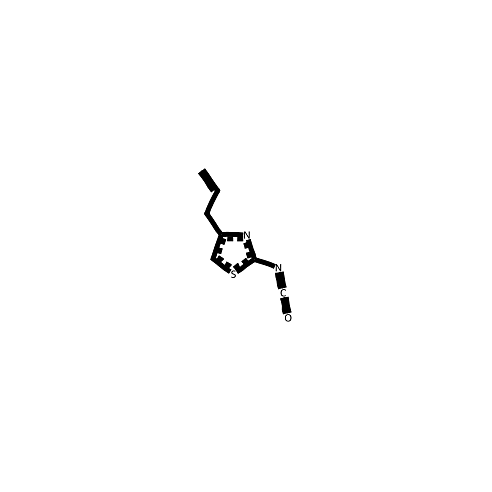 C=CCc1csc(N=C=O)n1